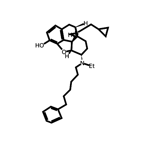 CCN(CCCCCCc1ccccc1)[C@H]1CC[C@@]2(O)[C@H]3Cc4ccc(O)c5c4[C@@]2(CCN3CC2CC2)[C@H]1O5